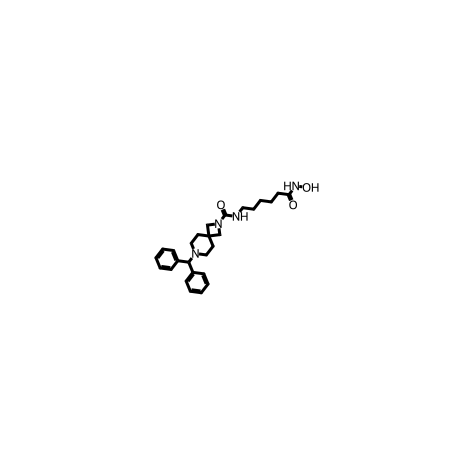 O=C(CCCCCNC(=O)N1CC2(CCN(C(c3ccccc3)c3ccccc3)CC2)C1)NO